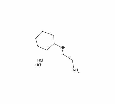 Cl.Cl.NCCNC1CCCCC1